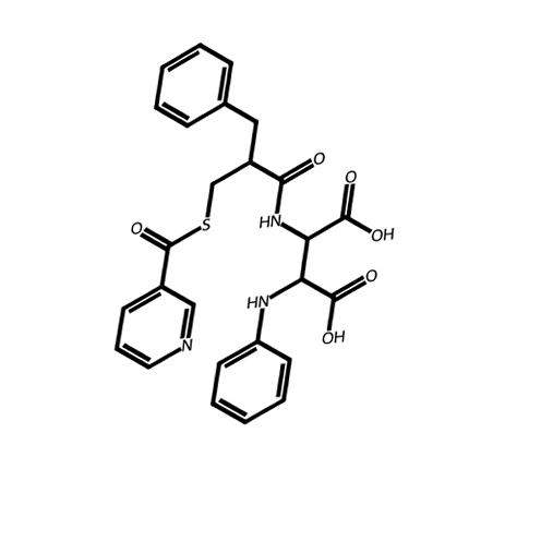 O=C(SCC(Cc1ccccc1)C(=O)NC(C(=O)O)C(Nc1ccccc1)C(=O)O)c1cccnc1